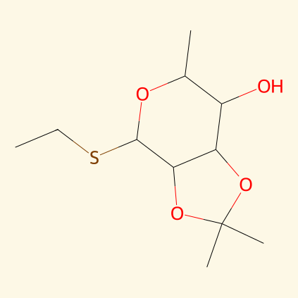 CCSC1OC(C)C(O)C2OC(C)(C)OC12